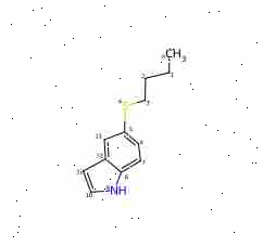 CCCCSc1ccc2[nH]ccc2c1